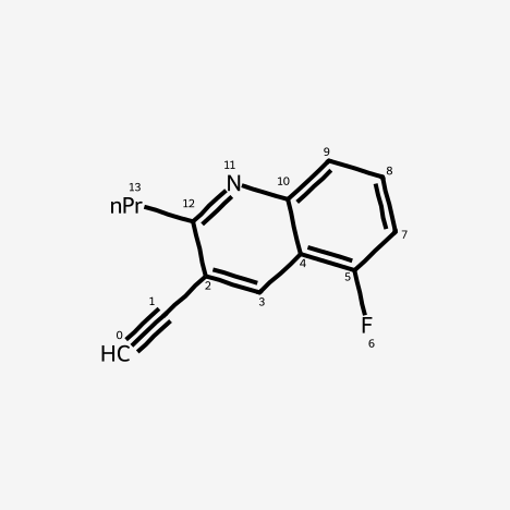 C#Cc1cc2c(F)cccc2nc1CCC